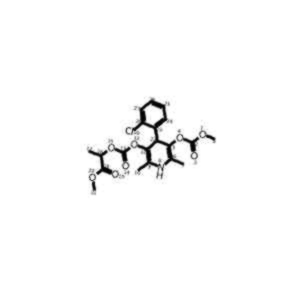 COC(=O)OC1=C(C)NC(C)=C(OC(=O)OC(C)C(=O)OC)C1c1ccccc1Cl